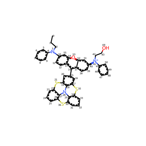 CCCN(c1ccccc1)c1ccc2c(-c3cc4c5c(c3)Sc3cccc6c3N5c3c(cccc3S4)S6)c3cc/c(=[N+](/CCO)c4ccccc4)cc-3oc2c1